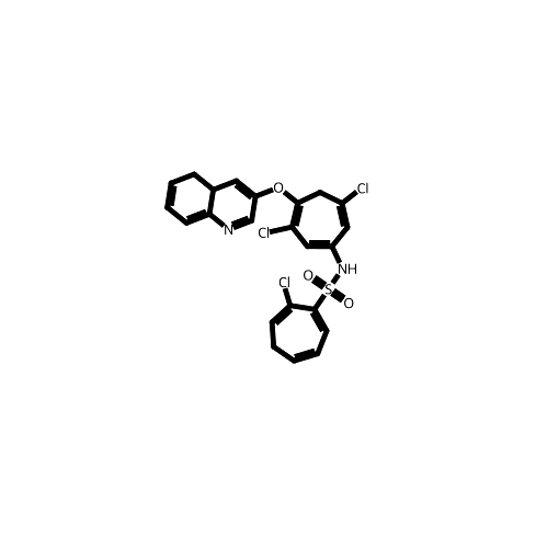 O=S(=O)(NC1=CC(Cl)=C(OC2=CC3CC=CC=C3N=C2)CC(Cl)=C1)C1=CC=CCC=C1Cl